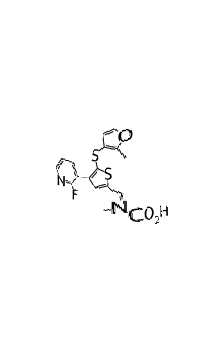 Cc1occc1Sc1sc(CN(C)C(=O)O)cc1-c1cccnc1F